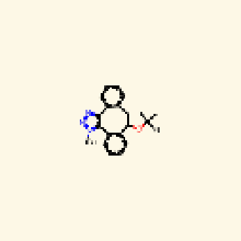 CCC(C)(C)OC1Cc2ccccc2-c2nnn(C(C)(C)C)c2-c2ccccc21